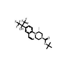 C/C=C\c1cc(C(O)(C(F)(F)F)C(F)(F)F)ccc1N1CCN(C(=O)OC(C)(C)C)C[C@H]1C